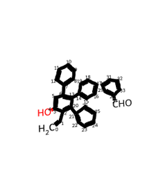 C=Cc1c(O)cc(-c2ccccc2)c(-c2ccccc2)c1-c1ccccc1.O=Cc1ccccc1